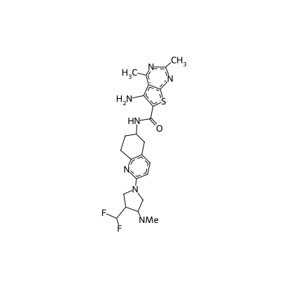 CNC1CN(c2ccc3c(n2)CCC(NC(=O)c2sc4nc(C)nc(C)c4c2N)C3)CC1C(F)F